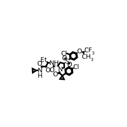 CCC(NC(=O)[C@@H]1C[C@@H](S(=O)(=O)c2ccc(OC(C)C(F)(F)F)cc2Cl)CN1C(=O)C1(c2ccc(Cl)cc2)CC1)C(=O)C(=O)NC1CC1